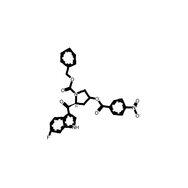 O=C(OC1C[C@@H](C(=O)c2c[nH]c3cc(F)ccc23)N(C(=O)OCc2ccccc2)C1)c1ccc([N+](=O)[O-])cc1